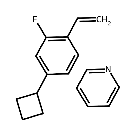 C=Cc1ccc(C2CCC2)cc1F.c1ccncc1